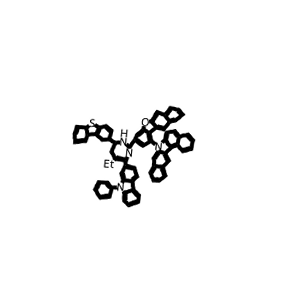 CCC1=C(c2ccc3c4ccccc4n(-c4ccccc4)c3c2)N=C(c2cc(-n3c4cc5ccccc5cc4c4c5ccccc5ccc43)c3c(c2)oc2cc4ccccc4cc23)NC(C2C=CC3=C(C2)C2C=CC=CC2S3)C1